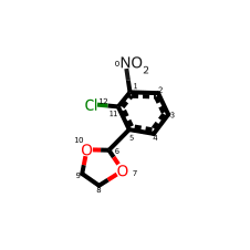 O=[N+]([O-])c1cccc(C2OCCO2)c1Cl